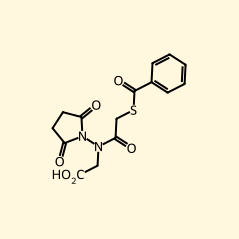 O=C(O)CN(C(=O)CSC(=O)c1ccccc1)N1C(=O)CCC1=O